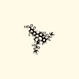 CN(C(=O)OC(C)(C)C)c1cc(F)c(F)c2c1[nH]c1ncc(-c3cnc4c(c3)c(=O)c(C(=O)O)cn4C)c(N3CCC[C@@]4(C[C@H]4NC(=O)OC(C)(C)C)C3)c12